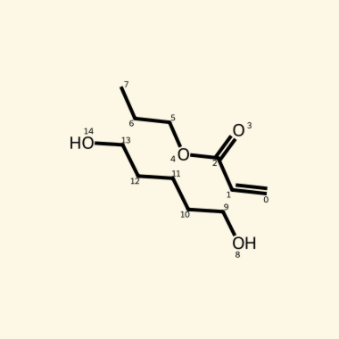 C=CC(=O)OCCC.OCCCCCO